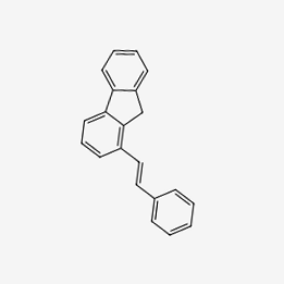 C(=Cc1cccc2c1Cc1ccccc1-2)c1ccccc1